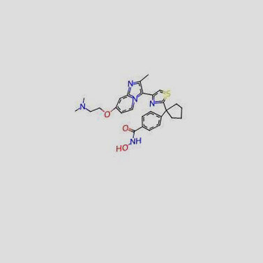 Cc1nc2cc(OCCN(C)C)ccn2c1-c1csc(C2(c3ccc(C(=O)NO)cc3)CCCC2)n1